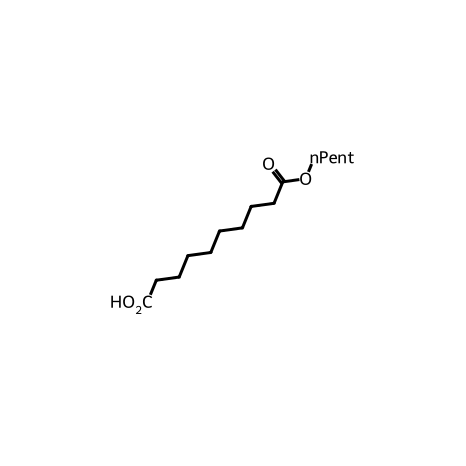 CCCCCOC(=O)CCCCCCCCC(=O)O